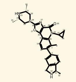 Cc1c(-c2ccc3c(c2)CN[C@@H]3C)ccc2c3oc(N4C[C@@H](C)N[C@@H](C)C4)nc3c(=O)n(C3CC3)c12